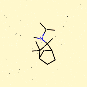 CC(C)N(C)C1(C)C2CCC(C2)C1(C)C